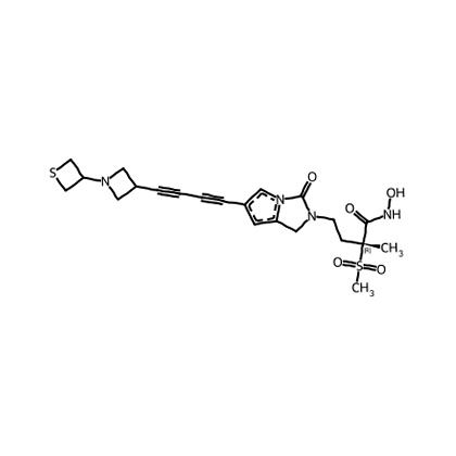 C[C@@](CCN1Cc2cc(C#CC#CC3CN(C4CSC4)C3)cn2C1=O)(C(=O)NO)S(C)(=O)=O